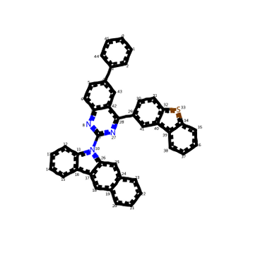 c1ccc(-c2ccc3nc(-n4c5ccccc5c5cc6ccccc6cc54)nc(-c4ccc5sc6ccccc6c5c4)c3c2)cc1